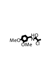 COc1ccc(CNC(=O)C(C)Cl)cc1OC